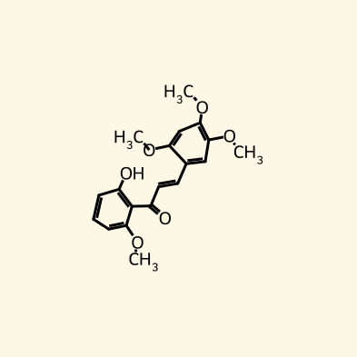 COc1cc(OC)c(OC)cc1/C=C/C(=O)c1c(O)cccc1OC